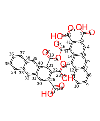 O=C(O)c1cc2cc3ccccc3cc2c(C(=O)OC(=O)c2c(C(=O)O)c(C(=O)O)cc3cc4ccccc4cc23)c1C(=O)O